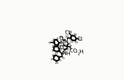 Cc1ccc(N2CC(CC(=O)O)(CC(=O)NC(Cc3ccccc3)c3ccccc3)CN(Cc3ccc(Cl)cc3Cl)C2=O)cc1